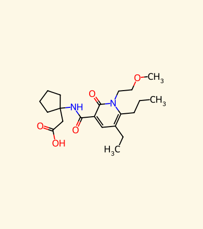 CCCc1c(CC)cc(C(=O)NC2(CC(=O)O)CCCC2)c(=O)n1CCOC